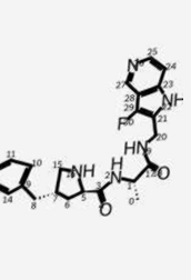 C[C@H](NC(=O)[C@H]1C[C@H](Cc2ccccc2)CN1)C(=O)NCc1[nH]c2ccncc2c1F